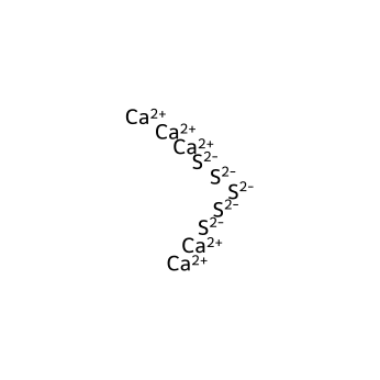 [Ca+2].[Ca+2].[Ca+2].[Ca+2].[Ca+2].[S-2].[S-2].[S-2].[S-2].[S-2]